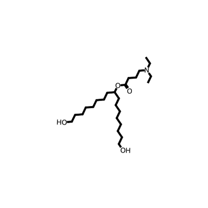 CCN(CC)CCCC(=O)OC(CCCCCCCCO)CCCCCCCCO